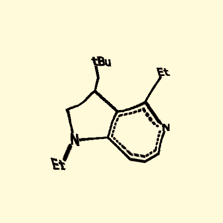 CCc1nccc2c1C(C(C)(C)C)CN2CC